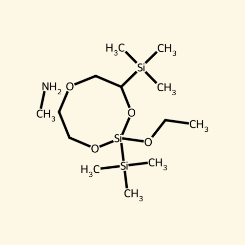 CCO[Si]1([Si](C)(C)C)OCCOCC([Si](C)(C)C)O1.CN